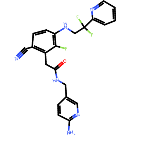 N#Cc1ccc(NCC(F)(F)c2ccccn2)c(F)c1CC(=O)NCc1ccc(N)nc1